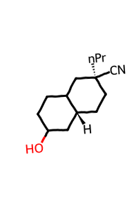 CCC[C@]1(C#N)CC[C@@H]2CC(O)CCC2C1